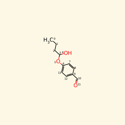 CCCC(O)Oc1ccc(C=O)cc1